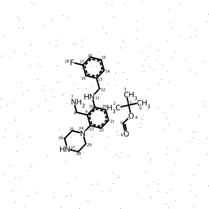 CC(C)(C)OC=O.NCc1c(NCc2cccc(F)c2)cccc1N1CCNCC1